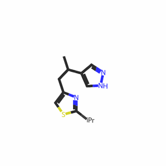 CC(C)c1nc(CC(C)c2cn[nH]c2)cs1